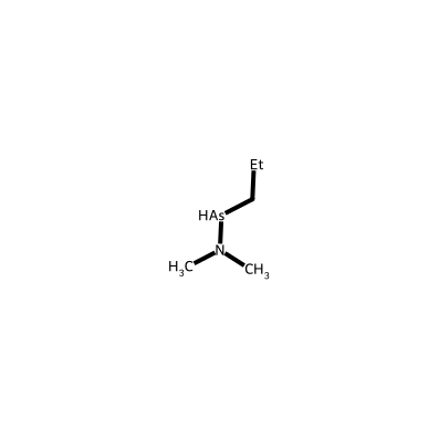 CCC[AsH]N(C)C